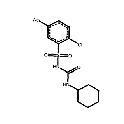 CC(=O)c1ccc(Cl)c(S(=O)(=O)NC(=O)NC2CCCCC2)c1